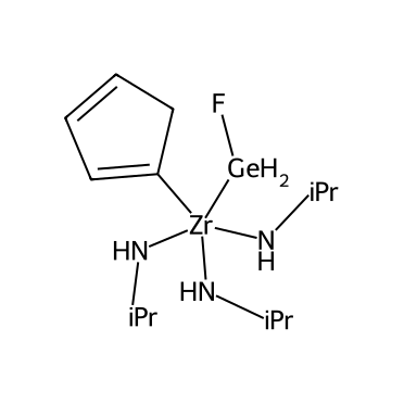 CC(C)[NH][Zr]([NH]C(C)C)([NH]C(C)C)([GeH2][F])[C]1=CC=CC1